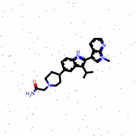 CC(C)c1c(-c2cn(C)c3ncccc23)[nH]c2ccc(C3CCN(CC(N)=O)CC3)cc12